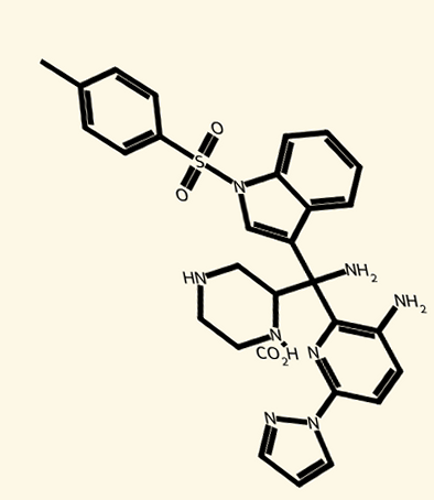 Cc1ccc(S(=O)(=O)n2cc(C(N)(c3nc(-n4cccn4)ccc3N)C3CNCCN3C(=O)O)c3ccccc32)cc1